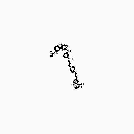 C=CC(=O)Nc1cccc(-c2nc(Nc3cccc(NCCCN4CCN(CCOC(=O)CC(P(=O)(O)O)P(=O)(O)O)CC4)c3)ncc2Cl)c1